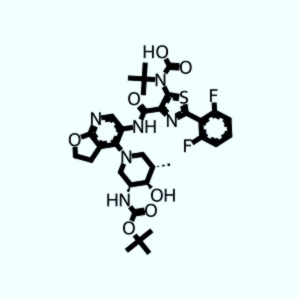 C[C@H]1CN(c2c(NC(=O)c3nc(-c4c(F)cccc4F)sc3N(C(=O)O)C(C)(C)C)cnc3c2CCO3)C[C@@H](NC(=O)OC(C)(C)C)[C@@H]1O